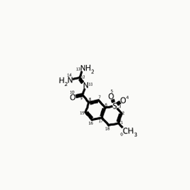 CC1=CS(=O)(=O)c2cc(C(=O)N=C(N)N)ccc2C1